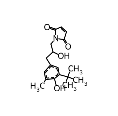 Cc1cc(CC(O)CN2C(=O)C=CC2=O)cc(C(C)(C)C)c1O